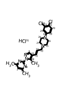 Cc1cc(C)nc(-n2ncc(/C=C/CN3CCN(c4ccc(Cl)c(Cl)c4)CC3)c2C)n1.Cl